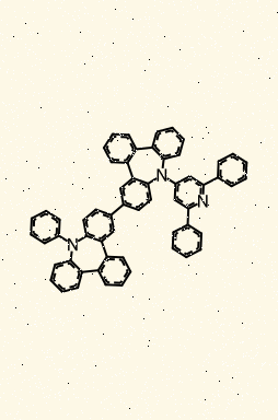 c1ccc(-c2cc(N3c4ccccc4-c4ccccc4-c4cc(-c5ccc6c(c5)-c5ccccc5-c5ccccc5N6c5ccccc5)ccc43)cc(-c3ccccc3)n2)cc1